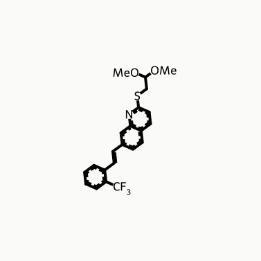 COC(CSc1ccc2ccc(/C=C/c3ccccc3C(F)(F)F)cc2n1)OC